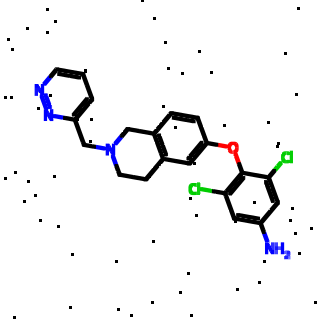 Nc1cc(Cl)c(Oc2ccc3c(c2)CCN(Cc2cccnn2)C3)c(Cl)c1